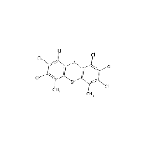 Cc1c(Cl)c(Cl)c(Cl)c2c1Sc1c(C)c(Cl)c(Cl)c(Cl)c1S2